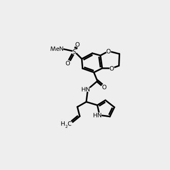 C=CCC(NC(=O)c1cc(S(=O)(=O)NC)cc2c1OCCO2)c1ccc[nH]1